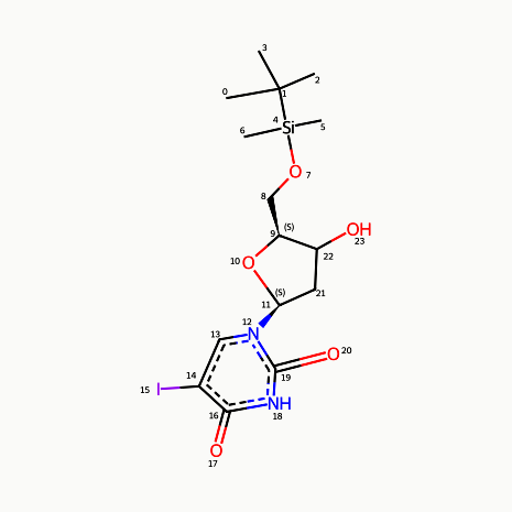 CC(C)(C)[Si](C)(C)OC[C@@H]1O[C@H](n2cc(I)c(=O)[nH]c2=O)CC1O